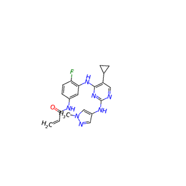 C=CC(=O)Nc1ccc(F)c(Nc2nc(Nc3cnn(C)c3)ncc2C2CC2)c1